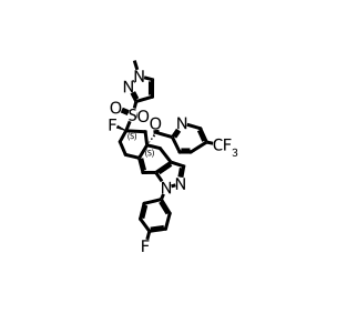 Cn1ccc(S(=O)(=O)[C@@]2(F)CCC3=Cc4c(cnn4-c4ccc(F)cc4)C[C@]3(C(=O)c3ccc(C(F)(F)F)cn3)C2)n1